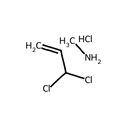 C=CC(Cl)Cl.CN.Cl